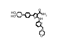 NC(=O)c1cc(-c2ccc(N3CCS(O)(O)CC3)cc2)sc1Nc1cccc(CN2CCOCC2)n1